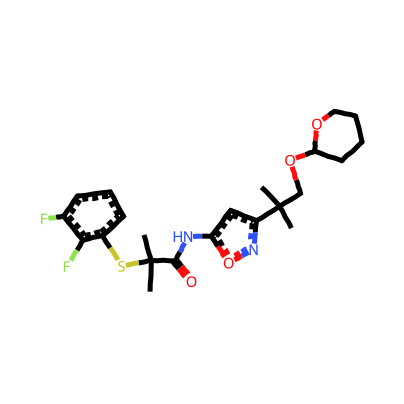 CC(C)(Sc1cccc(F)c1F)C(=O)Nc1cc(C(C)(C)COC2CCCCO2)no1